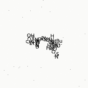 CCc1cccc2cc(O)cc(-c3ncc4c(N5CC6CCC(C5)N6)nc(OC[C@@]56CCCN5[SH](COCC(=O)N[C@H](C(=O)N5C[S+]([O-])C[C@@]5(S)C(=O)N[C@@H](C)c5ccc(-c7scnc7C)cc5)C(C)(C)C)CC6)nc4c3F)c12